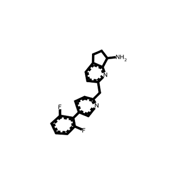 NC1CCc2ccc(Cc3ccc(-c4c(F)cccc4F)cn3)nc21